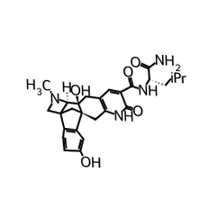 CC(C)C[C@H](NC(=O)c1cc2c([nH]c1=O)C[C@@]13CC4(CN(C)[C@H]4[C@]1(O)C2)c1ccc(O)cc13)C(N)=O